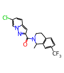 CC1c2cc(C(F)(F)F)ccc2CCN1C(=O)c1cc2ccc(Cl)cn2n1